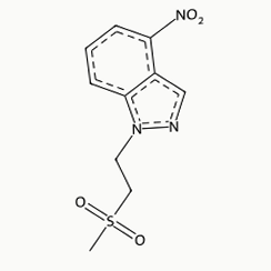 CS(=O)(=O)CCn1ncc2c([N+](=O)[O-])cccc21